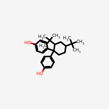 CC(C)(C)C1CCC(c2ccc(O)cc2)(c2ccc(O)cc2)C(C(C)(C)C)C1